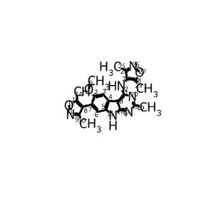 COc1cc2c(cc1-c1c(C)noc1C)[nH]c1nc(C)nc(Nc3c(C)noc3C)c12